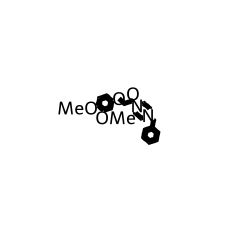 COc1ccc(OCC(=O)N2CCN(Cc3ccccc3)CC2)cc1OC